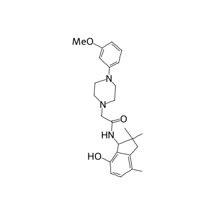 COc1cccc(N2CCN(CC(=O)NC3c4c(O)ccc(C)c4CC3(C)C)CC2)c1